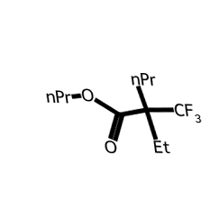 CCCOC(=O)C(CC)(CCC)C(F)(F)F